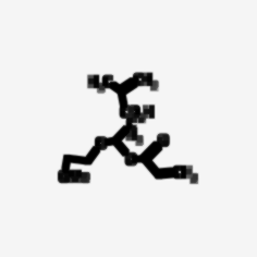 C=C(C)C(=O)O.C=CC(=O)OC(C)OCCOC